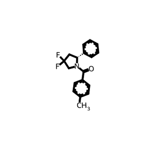 Cc1ccc(C(=O)N2CC(F)(F)C[C@@H]2c2ccccc2)cc1